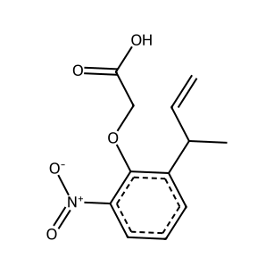 C=CC(C)c1cccc([N+](=O)[O-])c1OCC(=O)O